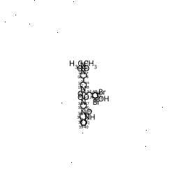 CN(C)S(=O)(=O)N1CCC(C2CCN(C(=O)[C@@H](Cc3cc(Br)c(O)c(Br)c3)OC(=O)N3CCC(N4CCc5ccccc5NC4=O)CC3)CC2)CC1